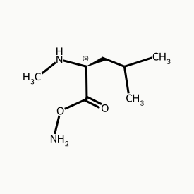 CN[C@@H](CC(C)C)C(=O)ON